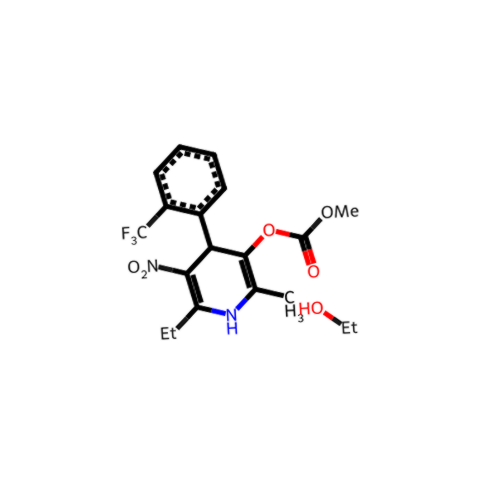 CCC1=C([N+](=O)[O-])C(c2ccccc2C(F)(F)F)C(OC(=O)OC)=C(C)N1.CCO